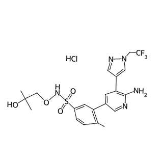 Cc1ccc(S(=O)(=O)NOCC(C)(C)O)cc1-c1cnc(N)c(-c2cnn(CC(F)(F)F)c2)c1.Cl